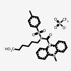 Cc1ccc(S(=O)(=O)N(CCCCCC(=O)O)C(=O)[c+]2c3ccccc3n(C)c3ccccc32)cc1.O=S(=O)([O-])C(F)(F)F